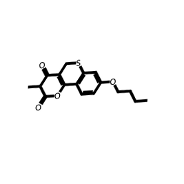 CCCCOc1ccc2c(c1)SCC1=C2OC(=O)C(C)C1=O